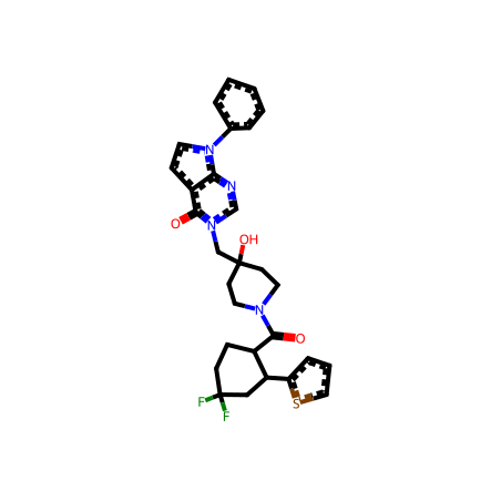 O=C(C1CCC(F)(F)CC1c1cccs1)N1CCC(O)(Cn2cnc3c(ccn3-c3ccccc3)c2=O)CC1